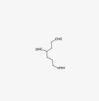 CCCCCCCCCC(C=O)CCC=O